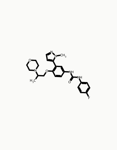 CC(COc1ccc(NC(=O)Nc2ccc(F)cc2)cc1-c1ccnn1C)N1CCOCC1